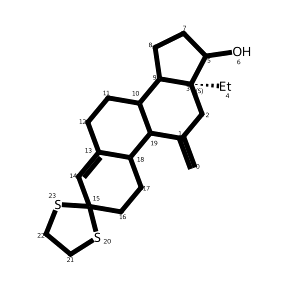 C=C1C[C@]2(CC)C(O)CCC2C2CCC3=CC4(CCC3C12)SCCS4